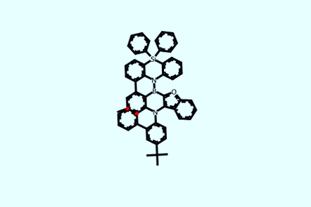 Cc1cc2c3c(c1)N(c1ccc(C(C)(C)C)cc1-c1ccccc1)c1c(oc4ccccc14)B3N1c3ccccc3[Si](c3ccccc3)(c3ccccc3)c3cccc-2c31